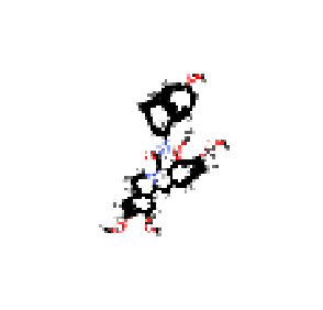 COc1ccc2c(c1)CCC2NC(=O)CN1CCc2cc(OC)c(OC)cc2C1Cc1ccc(OC)c(OC)c1